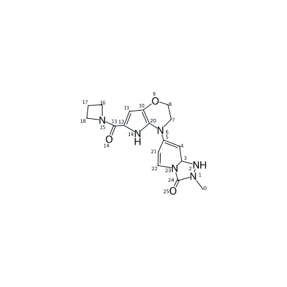 CN1NC2C=C(N3CCOc4cc(C(=O)N5CCC5)[nH]c43)C=CN2C1=O